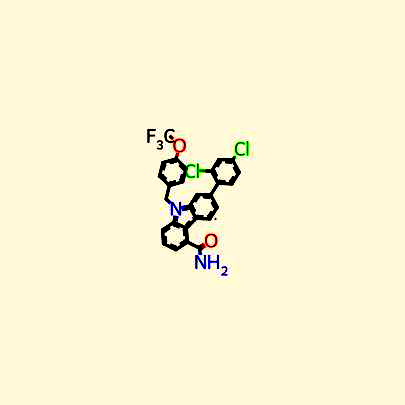 NC(=O)c1cccc2c1c1[c]cc(-c3ccc(Cl)cc3Cl)cc1n2Cc1ccc(OC(F)(F)F)cc1